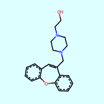 OCCN1CCN(CC2=Cc3ccccc3Oc3ccccc32)CC1